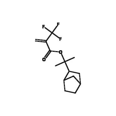 C=C(C(=O)OC(C)(C)C1CC2CCC1C2)C(F)(F)F